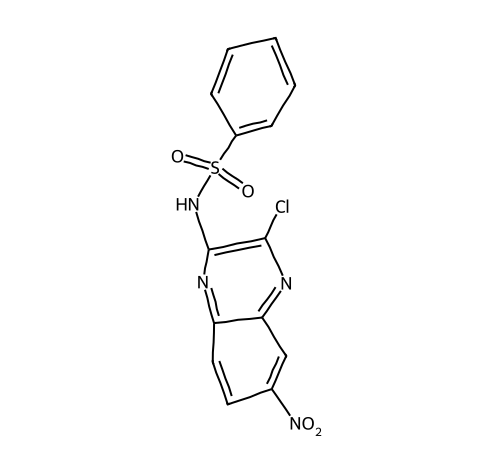 O=[N+]([O-])c1ccc2nc(NS(=O)(=O)c3ccccc3)c(Cl)nc2c1